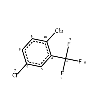 FC(F)(F)c1cc(Cl)[c]cc1Cl